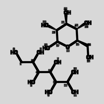 OCC(O)C(O)C(O)C(O)C(O)O.OC[C@H]1OC(O)[C@H](O)[C@@H](O)[C@@H]1O